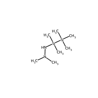 CN(C)N[Si](C)(C)[Si](C)(C)C